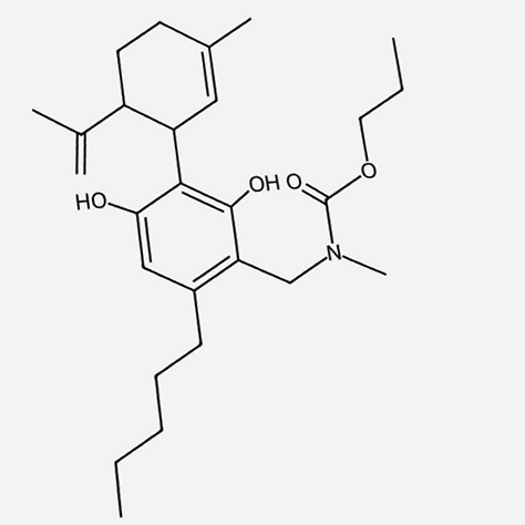 C=C(C)C1CCC(C)=CC1c1c(O)cc(CCCCC)c(CN(C)C(=O)OCCC)c1O